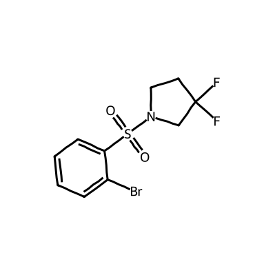 O=S(=O)(c1ccccc1Br)N1CCC(F)(F)C1